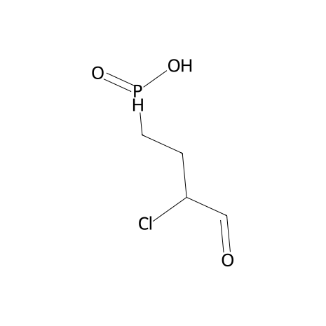 O=CC(Cl)CC[PH](=O)O